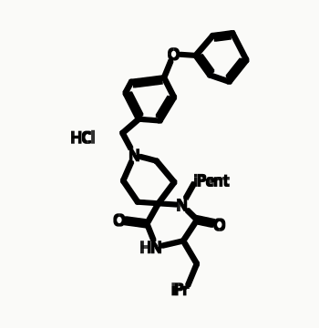 CCCC(C)N1C(=O)C(CC(C)C)NC(=O)C12CCN(Cc1ccc(Oc3ccccc3)cc1)CC2.Cl